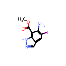 COC(=O)c1c(N)c(I)cc2cn[nH]c12